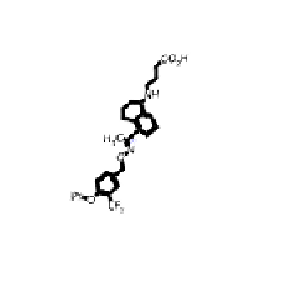 C/C(=N\OCc1ccc(OC(C)C)c(C(F)(F)F)c1)c1cccc2c1CCCC2NCCCC(=O)O